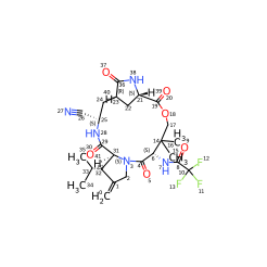 C=C1CN2C(=O)[C@@H](NC(=O)C(F)(F)F)C(C)(C)COC(=O)[C@@H]3C[C@@H](C[C@@H](C#N)NC(=O)[C@@H]2[C@H]1C(C)C)C(=O)N3